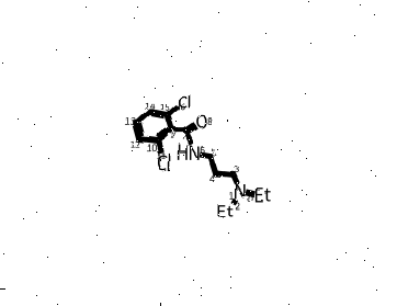 CCN(CC)CCCNC(=O)c1c(Cl)cccc1Cl